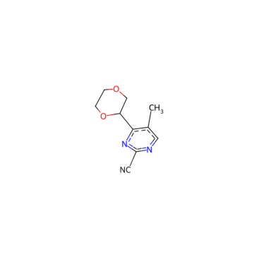 Cc1cnc(C#N)nc1C1COCCO1